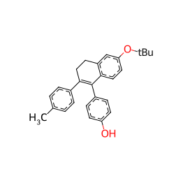 Cc1ccc(C2=C(c3ccc(O)cc3)c3ccc(OC(C)(C)C)cc3CC2)cc1